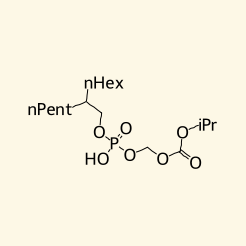 CCCCCCC(CCCCC)COP(=O)(O)OCOC(=O)OC(C)C